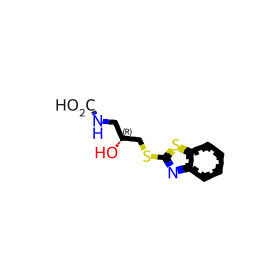 O=C(O)NC[C@@H](O)CSc1nc2ccccc2s1